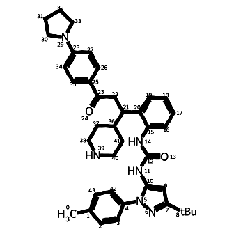 Cc1ccc(-n2nc(C(C)(C)C)cc2NC(=O)Nc2ccccc2C(CC(=O)c2ccc(N3CCCC3)cc2)C2CCNCC2)cc1